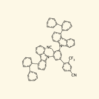 N#Cc1ccc(-c2cc(-n3c4ccccc4c4c(-c5ccccc5-c5ccccc5)cccc43)c(C#N)c(-n3c4ccccc4c4c(-c5ccccc5-c5ccccc5)cccc43)c2)c(C(F)(F)F)c1